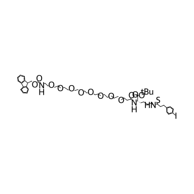 CC(C)(C)OC(=O)[C@H](CCCCNC(=S)CCc1ccc(I)cc1)NC(=O)CCOCCOCCOCCOCCOCCOCCOCCOCCNC(=O)OCC1c2ccccc2-c2ccccc21